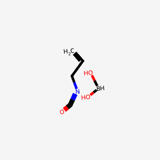 C=CCN=C=O.OBO